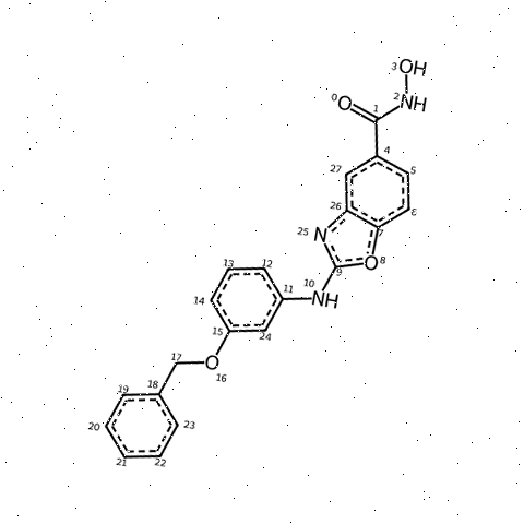 O=C(NO)c1ccc2oc(Nc3cccc(OCc4ccccc4)c3)nc2c1